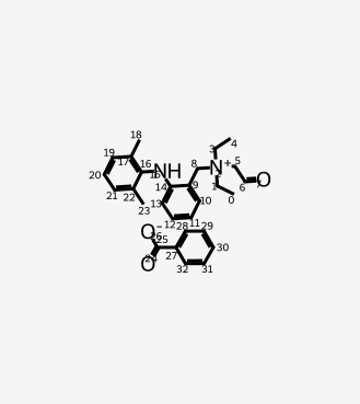 CC[N+](CC)(CC=O)Cc1ccccc1Nc1c(C)cccc1C.O=C([O-])c1ccccc1